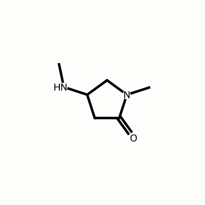 CNC1CC(=O)N(C)C1